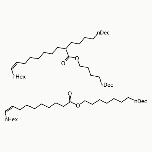 CCCCCC/C=C\CCCCCCC(CCCCCCCCCCCCCC)C(=O)OCCCCCCCCCCCCCC.CCCCCC/C=C\CCCCCCCC(=O)OCCCCCCCCCCCCCCCCC